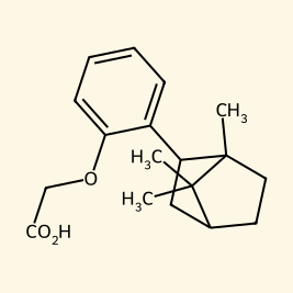 CC1(C)C2CCC1(C)C(c1ccccc1OCC(=O)O)C2